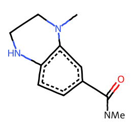 CNC(=O)c1ccc2c(c1)N(C)CCN2